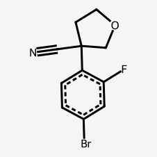 N#CC1(c2ccc(Br)cc2F)CCOC1